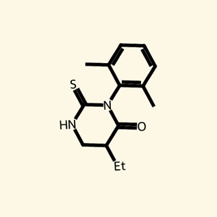 CCC1CNC(=S)N(c2c(C)cccc2C)C1=O